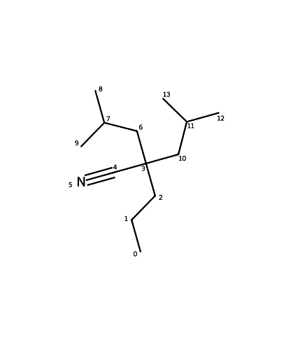 CCCC(C#N)(CC(C)C)CC(C)C